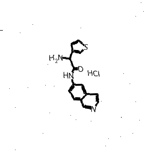 Cl.NC(C(=O)Nc1ccc2cnccc2c1)c1ccsc1